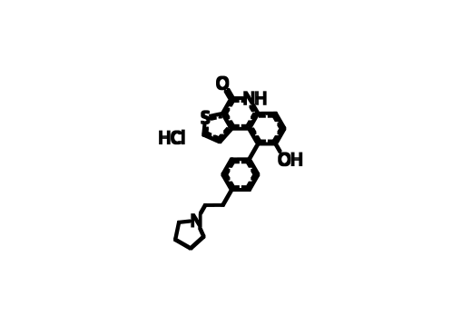 Cl.O=c1[nH]c2ccc(O)c(-c3ccc(CCN4CCCC4)cc3)c2c2ccsc12